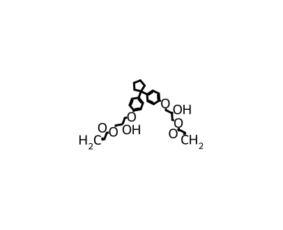 C=CC(=O)OCC(O)COc1ccc(C2(c3ccc(OCC(O)COC(=O)C=C)cc3)CCCC2)cc1